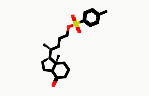 Cc1ccc(S(=O)(=O)OCCC[C@@H](C)[C@H]2CCC3C(=O)CCC[C@@]32C)cc1